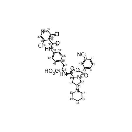 N#Cc1cccc(S(=O)(=O)N2CC(N3CCCCC3)C[C@H]2C(=O)N[C@@H](Cc2ccc(NC(=O)c3c(Cl)cncc3Cl)cc2)C(=O)O)c1